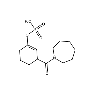 O=C(C1C=C(OS(=O)(=O)C(F)(F)F)CCC1)N1CCCCCC1